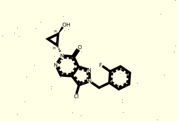 O=c1c2nn(Cc3ccccc3F)c(Cl)c2cnn1[C@@H]1C[C@H]1O